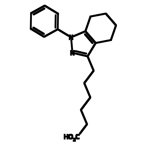 O=C(O)CCCCCc1nn(-c2ccccc2)c2c1CCCC2